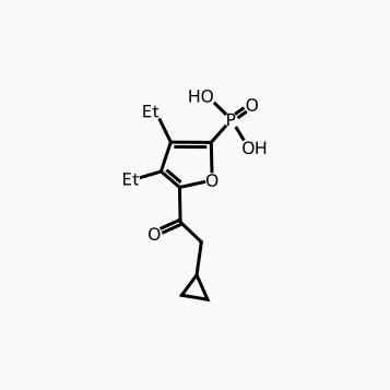 CCc1c(C(=O)CC2CC2)oc(P(=O)(O)O)c1CC